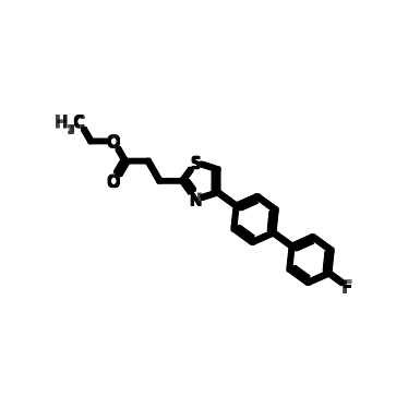 CCOC(=O)CCc1nc(-c2ccc(-c3ccc(F)cc3)cc2)cs1